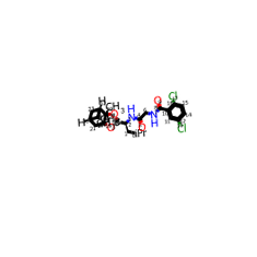 CC(C)C[C@H](NC(=O)CNC(=O)c1cc(Cl)ccc1Cl)B1OC2C[C@@H]3C[C@@H](C3(C)C)[C@]2(C)O1